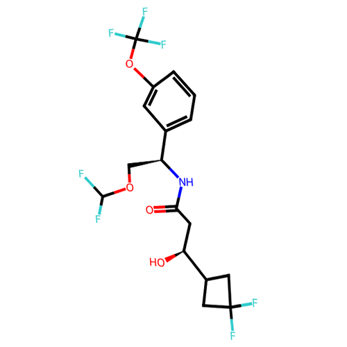 O=C(C[C@H](O)C1CC(F)(F)C1)N[C@@H](COC(F)F)c1cccc(OC(F)(F)F)c1